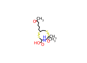 CC(=O)CCCCC1CCSSC(C)(C)C(=O)NC(C(=O)O)CSS1